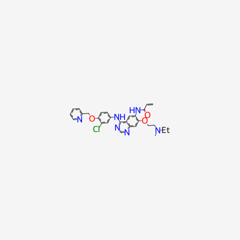 C=CC(=O)Nc1cc2c(Nc3ccc(OCc4ccccn4)c(Cl)c3)ncnc2cc1OCCN(C)CC